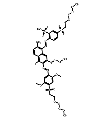 COc1cc(S(=O)(=O)CCOSOOO)c(OC)cc1/N=N/c1c(SOOO)cc2c(/N=N/c3ccc(S(=O)(=O)CCOSOOO)cc3S(=O)(=O)O)c(N)ccc2c1O